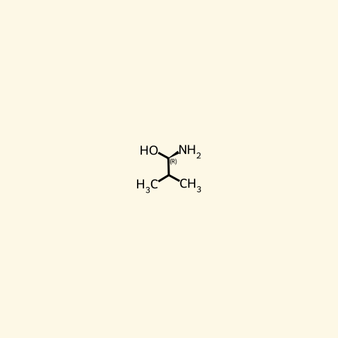 CC(C)[C@H](N)O